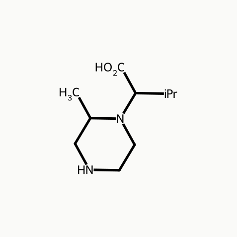 CC(C)C(C(=O)O)N1CCNCC1C